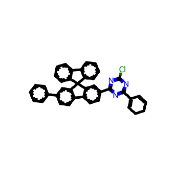 Clc1nc(C2=CCCC=C2)nc(-c2ccc3c(c2)C2(c4ccccc4-c4ccccc42)c2cc(-c4ccccc4)ccc2-3)n1